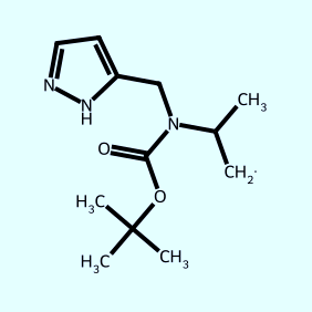 [CH2]C(C)N(Cc1ccn[nH]1)C(=O)OC(C)(C)C